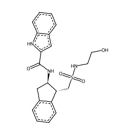 O=C(N[C@@H]1Cc2ccccc2[C@H]1CS(=O)(=O)NCCO)c1cc2ccccc2[nH]1